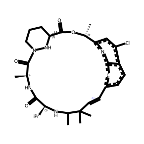 CC(C)[C@@H]1NC(C)C(C)(C)/C=C/c2ccc3c(Cl)cc(nc3c2)[C@@H](C)OC(=O)[C@@H]2CCCN(N2)C(=O)[C@H](C)NC1=O